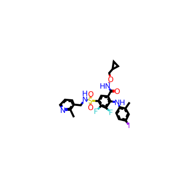 Cc1cc(I)ccc1Nc1c(C(=O)NOCC2CC2)cc(S(=O)(=O)NCc2cccnc2C)c(F)c1F